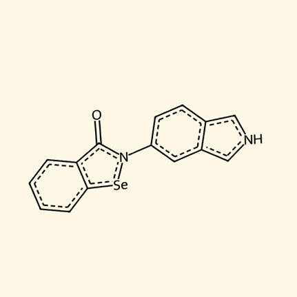 O=c1c2ccccc2[se]n1-c1ccc2c[nH]cc2c1